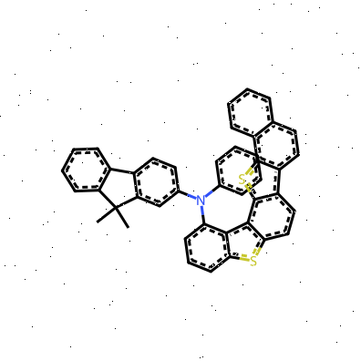 CC1(C)c2ccccc2-c2ccc(N(c3ccccc3)c3cccc4sc5ccc6c7ccc8ccccc8c7sc6c5c34)cc21